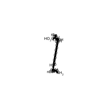 CCCCNC(=O)[C@H](CCCCNC(=O)COCCOCCOCCOCCOCCOCCOCCOCCOC(=O)Nc1cc(C[C@@H](C[C@H](C)C(=O)O)NC(=O)OC(C)(C)C)ccc1O)NC(=O)CNC(=O)CN